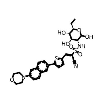 CC[C@H]1OC(O)[C@H](NS(=O)(=O)/C(C#N)=C/c2ccc(-c3ccc4cc(N5CCOCC5)ccc4c3)s2)[C@@H](O)[C@@H]1O